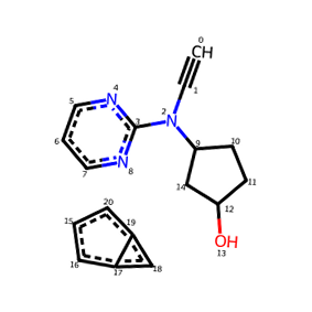 C#CN(c1ncccn1)C1CCC(O)C1.c1cc2cc-2c1